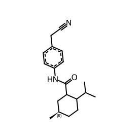 CC(C)C1CC[C@@H](C)CC1C(=O)Nc1ccc(CC#N)cc1